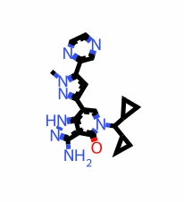 Cn1nc(-c2cn(C(C3CC3)C3CC3)c(=O)c3c(N)n[nH]c23)cc1-c1cnccn1